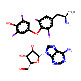 N[C@@H](Cc1cc(I)c(Oc2cc(I)c(O)c(I)c2)c(I)c1)C(=O)O.Nc1ncnc2c1ncn2[C@@H]1O[C@H](CO)[C@@H](O)[C@H]1O